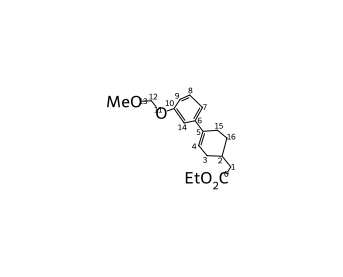 CCOC(=O)CC1CC=C(c2cccc(OCOC)c2)CC1